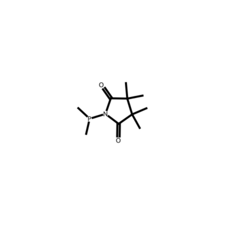 CP(C)N1C(=O)C(C)(C)C(C)(C)C1=O